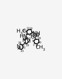 Cc1ccc(S(=O)(=O)Nc2ccc(C)c(Nc3nccc(-c4cccnc4)n3)c2)cc1